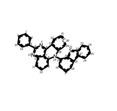 c1ccc(-c2nc3c4c(cccc4n2)N(c2cccc4c2sc2ccccc24)c2ccccc2-3)cc1